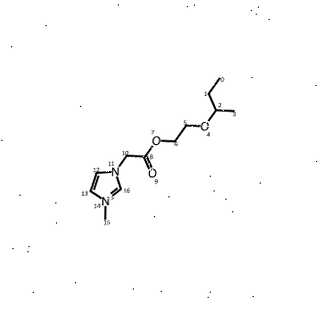 CCC(C)OCCOC(=O)Cn1cc[n+](C)c1